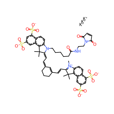 C[N+]1=C(C=CC2=CC(=CC=C3N(CCCCCC(=O)NCCN4C(=O)C=CC4=O)c4ccc5c(S(=O)(=O)[O-])cc(S(=O)(=O)[O-])cc5c4C3(C)C)CCC2)C(C)(C)c2c1ccc1c(S(=O)(=O)[O-])cc(S(=O)(=O)[O-])cc21.[K+].[K+].[K+]